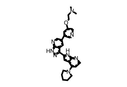 CN(C)CCOc1cncc(-c2cnc3[nH]nc(-c4cc5c(N6CCCCC6)ccnc5[nH]4)c3c2)c1